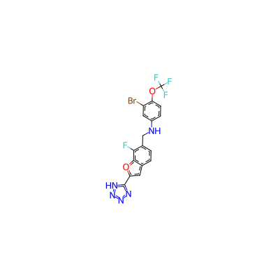 Fc1c(CNc2ccc(OC(F)(F)F)c(Br)c2)ccc2cc(-c3nnn[nH]3)oc12